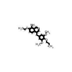 CCCOc1c(OC)cc(Cc2cncc3c(N)c(OCC)ccc23)cc1OC